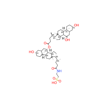 C[C@H](CCC(=O)NCCS(=O)(=O)O)[C@H]1CC[C@@H]2C3[C@@H](OC(=O)CC[C@@H](C)[C@H]4CC[C@@H]5C6[C@@H](CC[C@@]54C)[C@@]4(C)CC[C@H](O)CC4C[C@@H]6O)CC4C[C@@H](O)CC[C@]4(C)[C@@H]3CC[C@@]21C